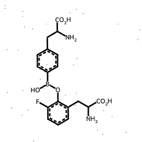 NC(Cc1ccc(B(O)Oc2c(F)cccc2CC(N)C(=O)O)cc1)C(=O)O